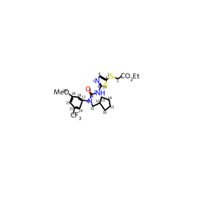 CCOC(=O)CSc1cnc(NC(=O)N(CC2CCCC2)c2cc(OC)cc(C(F)(F)F)c2)s1